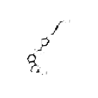 C[C@@]1(c2cc(NC(=O)c3ccc(OCC#CCN)cn3)ccc2F)CCSC(N)=N1